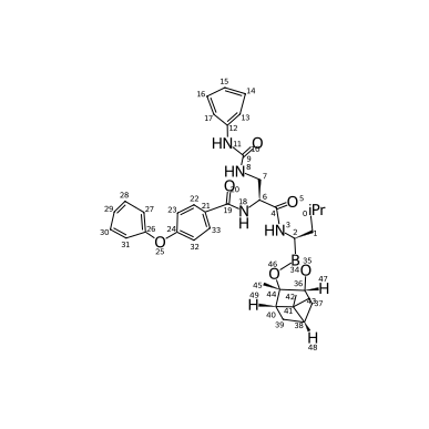 CC(C)C[C@H](NC(=O)[C@H](CNC(=O)Nc1ccccc1)NC(=O)c1ccc(Oc2ccccc2)cc1)B1O[C@@H]2C[C@@H]3C[C@@H](C3(C)C)[C@]2(C)O1